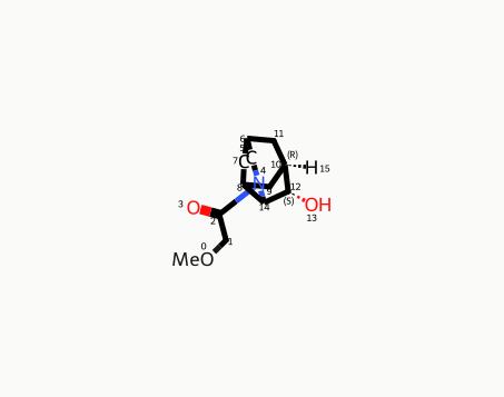 COCC(=O)N1CC2CC3C[C@@H](C2)[C@H](O)C31